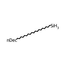 CCCCCCCCCCCCCCCCCCCCCCCCCCCCC[SiH3]